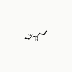 C=C[CH]N[14CH2]C=C